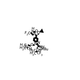 CC(C)(C)[S+]([O-])N[C@@H](COC(C)(C)C(F)(F)F)c1nc2cc([C@@H](COC3CC3)N3C[C@@H](C(F)(F)F)NC3=O)ccc2n1COCC[Si](C)(C)C